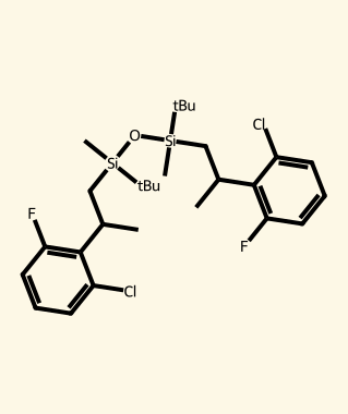 CC(C[Si](C)(O[Si](C)(CC(C)c1c(F)cccc1Cl)C(C)(C)C)C(C)(C)C)c1c(F)cccc1Cl